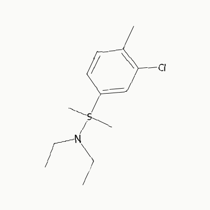 CCN(CC)S(C)(C)c1ccc(C)c(Cl)c1